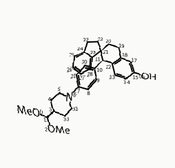 COC(OC)C1CCN(c2ccc([C@@H]3c4ccc(O)cc4CC[C@@]34CCc3ccccc34)cc2)CC1